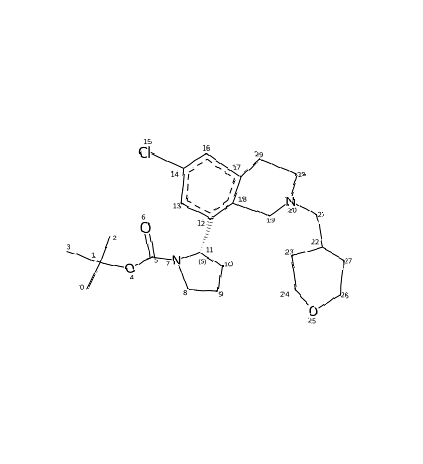 CC(C)(C)OC(=O)N1CCC[C@H]1c1cc(Cl)cc2c1CN(CC1CCOCC1)CC2